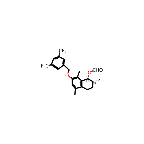 Cc1cc(OCc2cc(C(F)(F)F)cc(C(F)(F)F)c2)c(C)c2c1CC[C@@H](C)[C@H]2OC=O